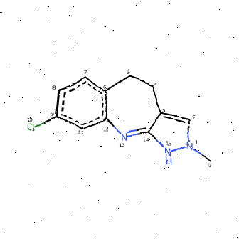 CN1C=C2CCc3ccc(Cl)cc3N=C2N1